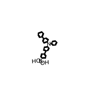 OB(O)c1ccc(-c2ccc(N(c3ccccc3)c3ccc(-c4ccccc4)cc3)cc2)cc1